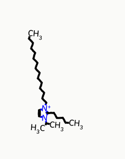 CCCCCCCCCCCCCCC[n+]1ccn(C(C)C)c1CCCCC